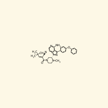 CN1CCN(C(=O)C(C#N)=CC(C)(C)C)C[C@@H]1c1nc(-c2ccc(Oc3ccccc3)cc2)c2c(N)nccn12